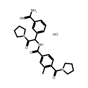 Cc1cc(C(=O)NC(C(=O)N2CCCC2)c2cccc(C(=N)N)c2)ccc1C(=O)N1CCCC1.Cl